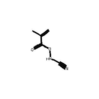 C=C(C)C(=O)ONC#N